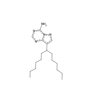 CCCCCCC(CCCCCC)c1cnn2c(N)ncnc12